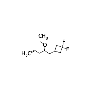 C=CCC(CC1CC(F)(F)C1)OCC